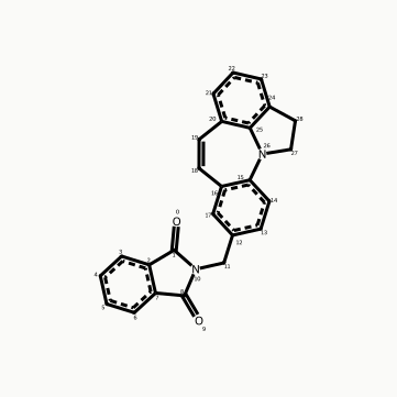 O=C1c2ccccc2C(=O)N1Cc1ccc2c(c1)C=Cc1cccc3c1N2CC3